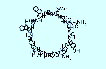 CCCC[C@H]1C(=O)N(C)[C@@H](CCSC)C(=O)N[C@@H](C)C(=O)NC(C(=O)NCC(N)=O)CSCC(=O)N[C@@H](Cc2ccc(O)cc2)C(=O)N(C)[C@@H](C)C(=O)N[C@@H](CC(N)=O)C(=O)N2CCC[C@H]2C(=O)N[C@@H](CN)C(=O)N[C@@H](CC(C)C)C(=O)N2CCC[C@H]2C(=O)N[C@@H](Cc2c[nH]c3ccccc23)C(=O)N[C@@H](CO)C(=O)N[C@@H](Cc2csc3ccccc23)C(=O)N1C